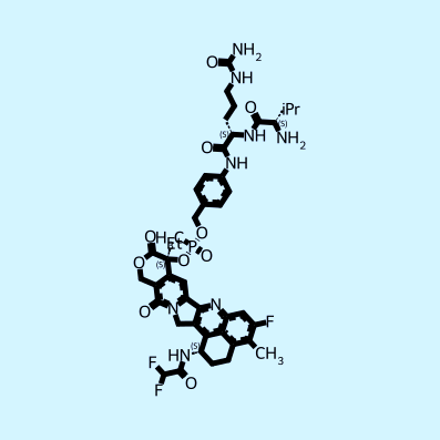 CC[C@@]1(OP(C)(=O)OCc2ccc(NC(=O)[C@H](CCCNC(N)=O)NC(=O)[C@@H](N)C(C)C)cc2)C(=O)OCc2c1cc1n(c2=O)Cc2c-1nc1cc(F)c(C)c3c1c2[C@@H](NC(=O)C(F)F)CC3